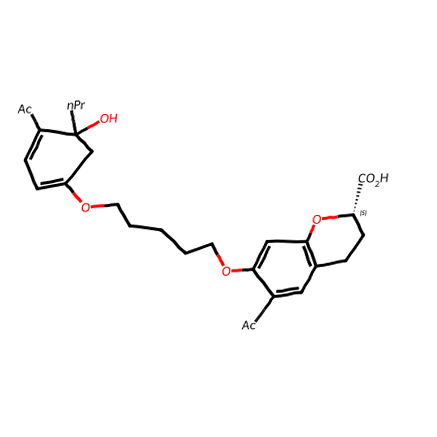 CCCC1(O)CC(OCCCCCOc2cc3c(cc2C(C)=O)CC[C@@H](C(=O)O)O3)=CC=C1C(C)=O